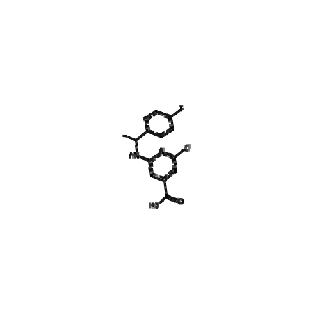 CC(Nc1cc(C(=O)O)cc(Cl)n1)c1ccc(F)cc1